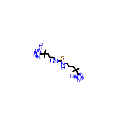 CC(C)(CCCNC(=S)NCCCC(C)(C)c1nnn[nH]1)c1nnn[nH]1